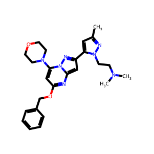 Cc1cc(-c2cc3nc(OCc4ccccc4)cc(N4CCOCC4)n3n2)n(CCN(C)C)n1